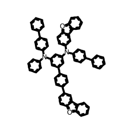 c1ccc(-c2ccc(N(c3ccccc3)c3cc(-c4ccc(-c5ccc6oc7ccccc7c6c5)cc4)cc(N(c4ccc(-c5ccccc5)cc4)c4ccc5oc6ccccc6c5c4)c3)cc2)cc1